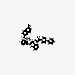 O=C(NC1(C(=O)N[C@H](Cc2ccccc2)C(=O)NCCC(=O)N2CCN(c3ccccn3)CC2)CCCC1)c1ccc2cc(Br)ccc2c1